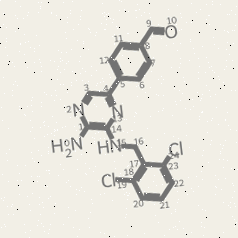 Nc1ncc(-c2ccc(C=O)cc2)nc1NCc1c(Cl)cccc1Cl